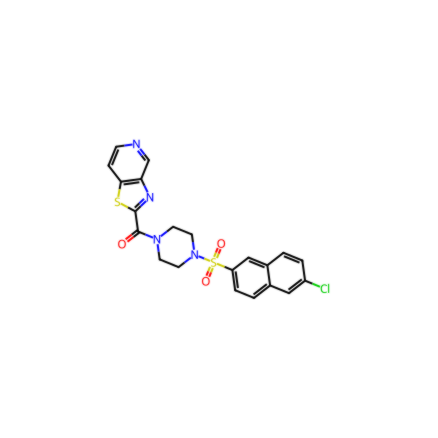 O=C(c1nc2cnccc2s1)N1CCN(S(=O)(=O)c2ccc3cc(Cl)ccc3c2)CC1